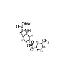 COC(=O)c1nc2ccc(OS(=O)(=O)c3cccc(C(F)(F)F)c3)cc2[nH]1